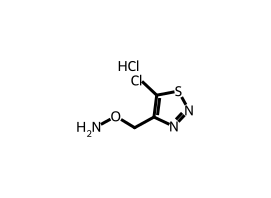 Cl.NOCc1nnsc1Cl